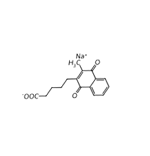 CC1=C(CCCCC(=O)[O-])C(=O)c2ccccc2C1=O.[Na+]